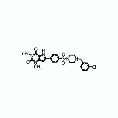 CCCn1c(=O)c2[nH]c(-c3ccc(S(=O)(=O)N4CCN(Cc5cccc(Cl)c5)CC4)cc3)cc2n(C)c1=O